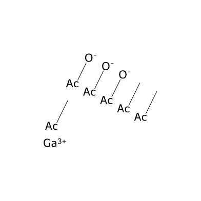 CC(=O)[O-].CC(=O)[O-].CC(=O)[O-].CC(C)=O.CC(C)=O.CC(C)=O.[Ga+3]